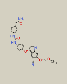 COCCOc1cc2nccc(Oc3ccc(NC(=O)Nc4ccc(CC(N)=O)cc4)cc3)c2cc1C#N